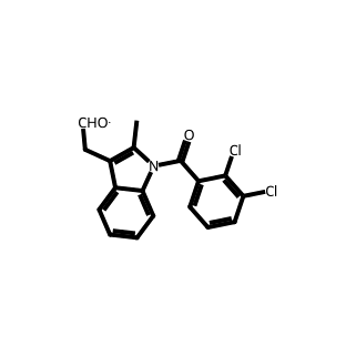 Cc1c(C[C]=O)c2ccccc2n1C(=O)c1cccc(Cl)c1Cl